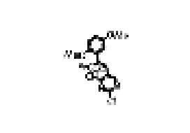 CCOC(=O)C(Cc1cnc(Cl)nc1Cl)c1cc(OC)ccc1OC